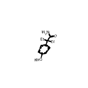 CCC(CC)(C(N)=O)c1ccc(OC)cc1